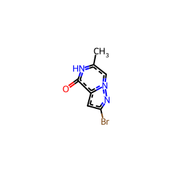 Cc1cn2nc(Br)cc2c(=O)[nH]1